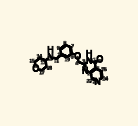 O=c1[nH]c(COc2cccc(CNC3CCOCC3)c2)nc2cnccc12